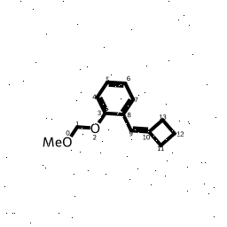 COCOc1ccccc1C=C1CCC1